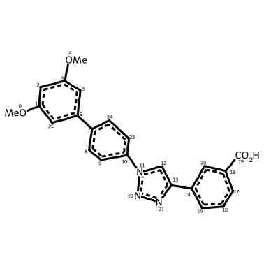 COc1cc(OC)cc(-c2ccc(-n3cc(-c4cccc(C(=O)O)c4)nn3)cc2)c1